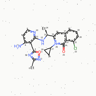 CCc1noc(-c2c(N)ccnc2N[C@@H](CC)c2cc3cccc(Cl)c3c(=O)n2C2CC2)n1